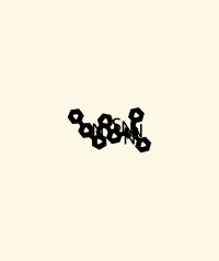 c1ccc(-c2ccc3c4ccccc4n(-c4cccc5sc6c(-c7nc(-c8ccccc8)nc(-c8ccccc8)n7)cccc6c45)c3c2)cc1